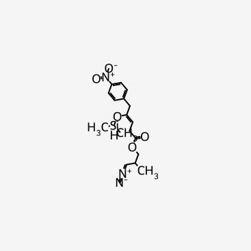 CC(C=[N+]=[N-])COC(=O)CC=C(Cc1ccc([N+](=O)[O-])cc1)O[SiH](C)C